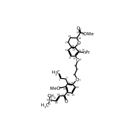 C=CCc1c(OCCCOc2ccc3c(c2CCC)OC(C(=O)OC)CC3)ccc(C(=O)C=CN(C)C)c1OC